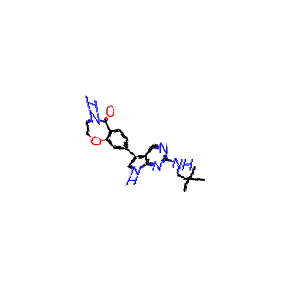 CC(C)(C)CNc1ncc2c(-c3ccc4c(c3)OCCNC4=O)c[nH]c2n1